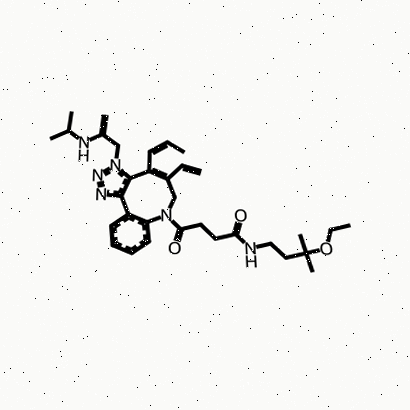 C=C/C1=C(\C=C/C)c2c(nnn2CC(=C)NC(C)C)-c2ccccc2N(C(=O)CCC(=O)NCCC(C)(C)OCC)C1